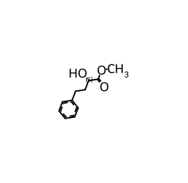 COC(=O)[C@@H](O)CCc1ccccc1